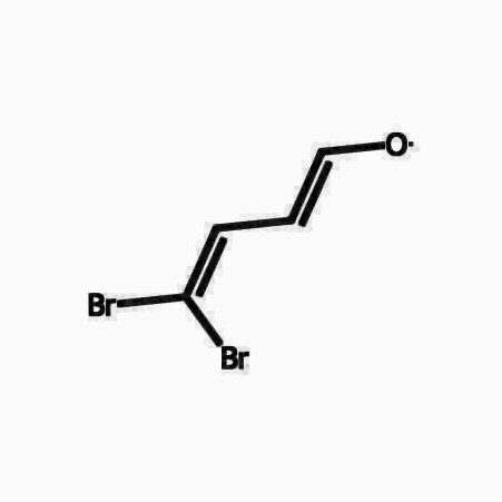 [O]C=CC=C(Br)Br